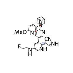 COc1ccc(CN2C3CC2CN(c2ccc(C4=CC(NCCF)=CN/C4=C(/C#N)C=N)cn2)C3)cn1